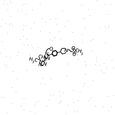 CC(C)n1ncnc1-c1cn2c(n1)-c1ccc(C3CCN(CCS(C)(=O)=O)CC3)cc1OCC2